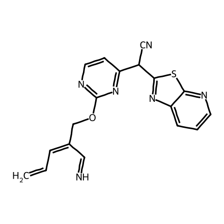 C=C/C=C(\C=N)COc1nccc(C(C#N)c2nc3cccnc3s2)n1